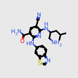 CC(C)CC(CN)Nc1nc(Nc2ccc3ncsc3c2)c(C(N)=O)cc1C#N